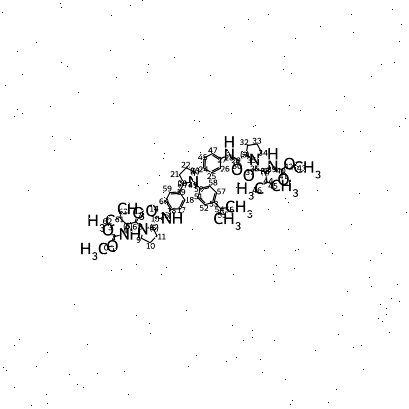 COC(=O)N[C@H](C(=O)N1CCC[C@H]1C(=O)Nc1ccc([C@H]2CC[C@H](c3ccc(NC(=O)[C@@H]4CCCN4C(=O)[C@@H](NC(=O)OC)C(C)C)cc3)N2c2ccc(C(C)C)cc2)cc1)C(C)C